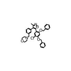 Cc1noc(-c2cc(Cl)c(OCc3ccccc3)cc2OCc2ccccc2)c1-c1cccc(CN2CCOCC2)c1